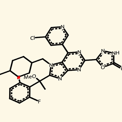 COC(C)(c1c(F)cccc1F)c1nc2nc(-c3n[nH]c(=O)o3)nc(-c3cncc(Cl)c3)c2n1CC1CCC(C)CC1